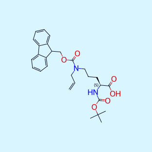 C=CCN(CCC[C@H](NC(=O)OC(C)(C)C)C(=O)O)C(=O)OCC1c2ccccc2-c2ccccc21